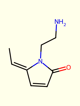 CC=C1C=CC(=O)N1CCN